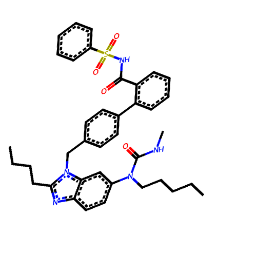 CCCCCN(C(=O)NC)c1ccc2nc(CCCC)n(Cc3ccc(-c4ccccc4C(=O)NS(=O)(=O)c4ccccc4)cc3)c2c1